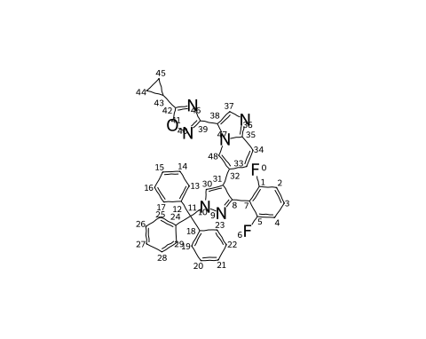 Fc1cccc(F)c1-c1nn(C(c2ccccc2)(c2ccccc2)c2ccccc2)cc1-c1ccc2ncc(-c3noc(C4CC4)n3)n2c1